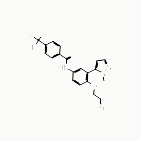 Cn1nccc1-c1cc(NC(=O)c2ccc(C(F)(F)F)cc2)ccc1OCCBr